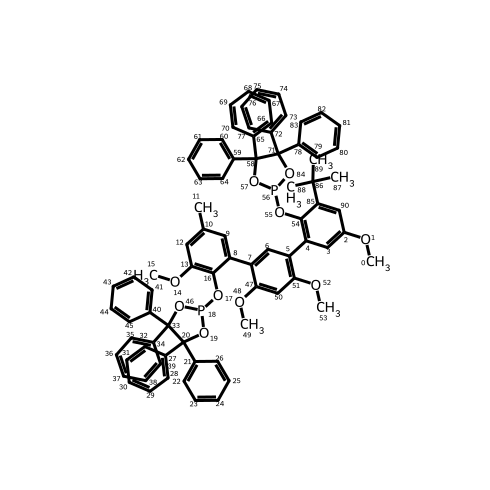 COc1cc(-c2cc(-c3cc(C)cc(OC)c3OP3OC(c4ccccc4)(c4ccccc4)C(c4ccccc4)(c4ccccc4)O3)c(OC)cc2OC)c(OP2OC(c3ccccc3)(c3ccccc3)C(c3ccccc3)(c3ccccc3)O2)c(C(C)(C)C)c1